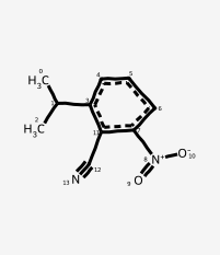 CC(C)c1cccc([N+](=O)[O-])c1C#N